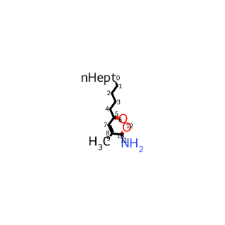 CCCCCCCCCCCC(=O)C=C(C)C(N)=O